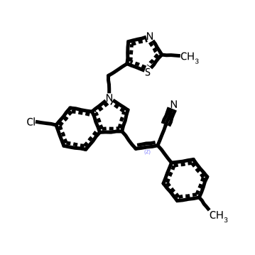 Cc1ccc(/C(C#N)=C/c2cn(Cc3cnc(C)s3)c3cc(Cl)ccc23)cc1